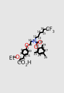 CCOC(Cc1ccc(OCCN(CCCCCC(F)(F)F)C(=O)Oc2c(C)cc(C)cc2C)cc1)C(=O)O